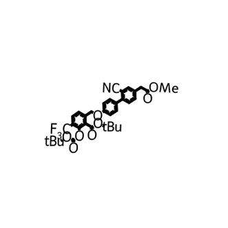 COC(=O)Cc1ccc(-c2ccc(OCc3ccc(C(F)(F)F)c(OC(=O)OC(C)(C)C)c3C(=O)OC(C)(C)C)cc2)c(C#N)c1